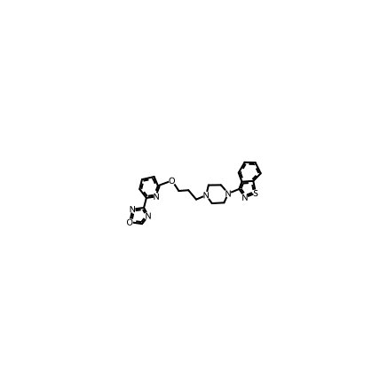 c1cc(OCCCN2CCN(c3nsc4ccccc34)CC2)nc(-c2ncon2)c1